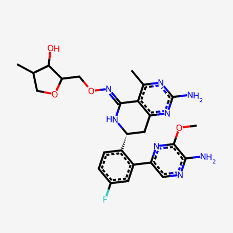 COc1nc(-c2cc(F)ccc2[C@H]2Cc3nc(N)nc(C)c3/C(=N/OCC3OCC(C)C3O)N2)cnc1N